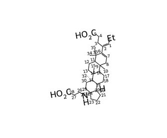 CC/C=C(\CCC(=O)O)C1=CCC2(C)C(CCC3(C)C2CCC2[C@H]4CCCC4(NCCC(=O)O)CC[C@]23C)C1(C)C